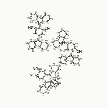 N#Cc1cc(-n2c3ccccc3c3ccccc32)c(-n2c3ccccc3c3cc(-c4ccc5c(c4)c4ccccc4n5-c4c(C#N)ccc(-n5c6ccccc6c6cc(-c7ccc8c9ccccc9n(-c9cc(C#N)c(-n%10c%11ccccc%11c%11ccccc%11%10)c(C#N)c9)c8c7)ccc65)c4C#N)ccc32)cc1C#N